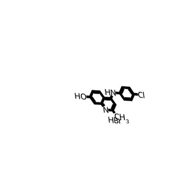 Br.Cc1cc(Nc2ccc(Cl)cc2)c2ccc(O)cc2n1